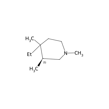 CCC1(C)CCN(C)C[C@H]1C